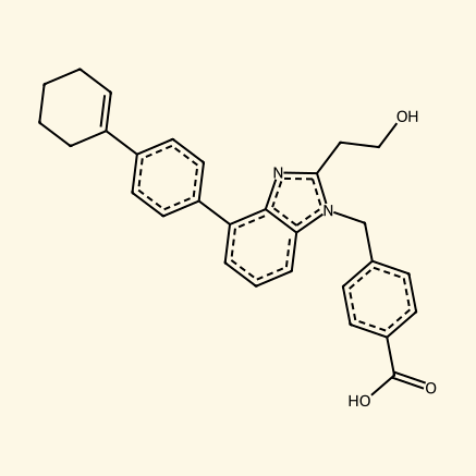 O=C(O)c1ccc(Cn2c(CCO)nc3c(-c4ccc(C5=CCCCC5)cc4)cccc32)cc1